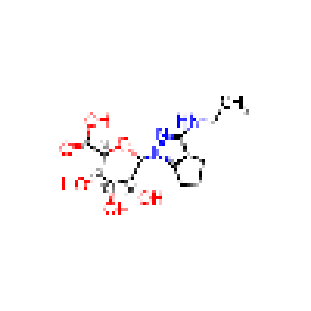 CCNc1nn(C2O[C@H](C(=O)O)[C@@H](O)[C@H](O)[C@H]2O)c2c1CCC2